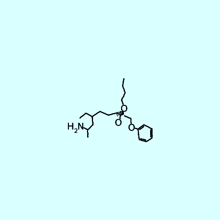 CCCCO[P@](=O)(CCCC(CC)CC(C)N)COc1ccccc1